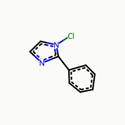 Cln1ccnc1-c1ccccc1